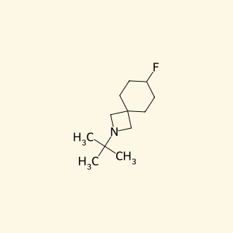 CC(C)(C)N1CC2(CCC(F)CC2)C1